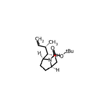 C=C[C@H](C)[C@@H]1NC[C@H]2CC[C@@H]1N2C(=O)OC(C)(C)C